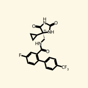 O=C1NC(=O)[C@](CNC(=O)c2cc(F)ccc2-c2ccc(C(F)(F)F)cc2)(C2CC2)N1